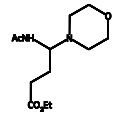 CCOC(=O)CCC(NC(C)=O)N1CCOCC1